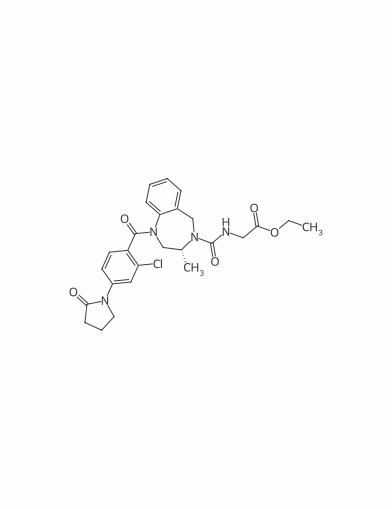 CCOC(=O)CNC(=O)N1Cc2ccccc2N(C(=O)c2ccc(N3CCCC3=O)cc2Cl)C[C@H]1C